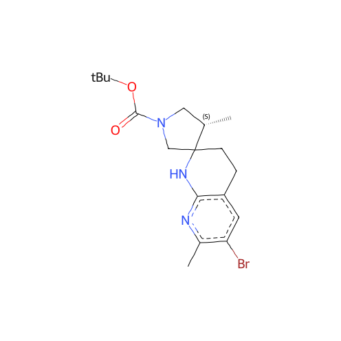 Cc1nc2c(cc1Br)CCC1(CN(C(=O)OC(C)(C)C)C[C@@H]1C)N2